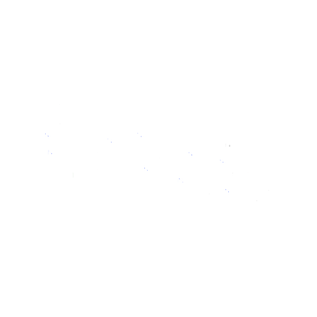 C#CCN(C(=O)c1cc(Cl)nnc1Cl)c1ncc(-c2nc3c([nH]2)c(=O)n(CC2CC2)c(=O)n3CCC)n2cccc12